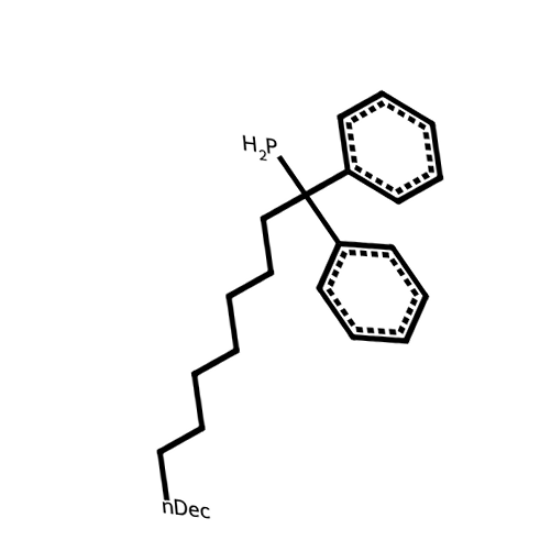 CCCCCCCCCCCCCCCCCC(P)(c1ccccc1)c1ccccc1